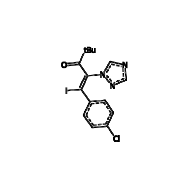 CC(C)(C)C(=O)C(=C(I)c1ccc(Cl)cc1)n1cncn1